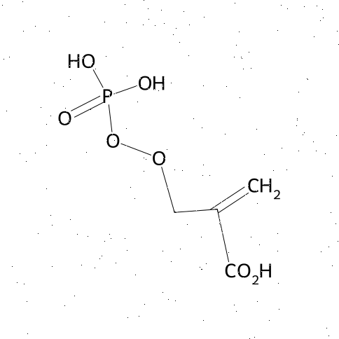 C=C(COOP(=O)(O)O)C(=O)O